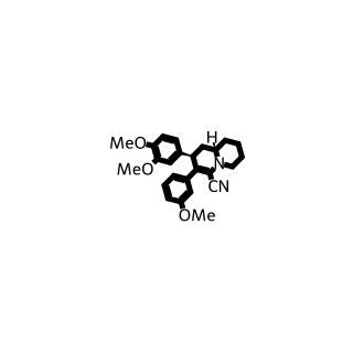 COc1cccc(C2=C(C#N)N3CCCC[C@@H]3C[C@@H]2c2ccc(OC)c(OC)c2)c1